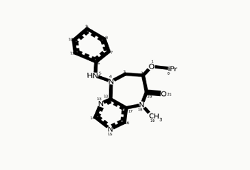 CC(C)OC1CN(Nc2ccccc2)c2ncncc2N(C)C1=O